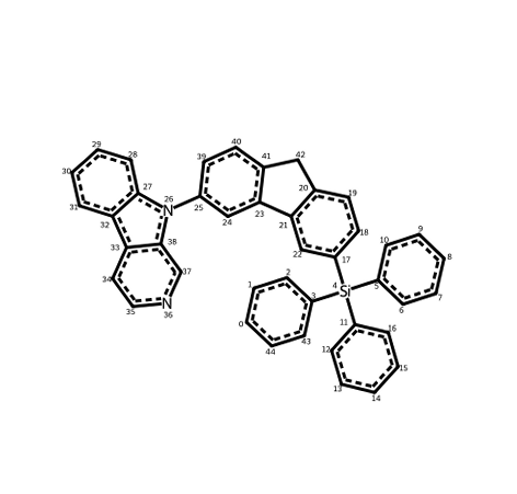 c1ccc([Si](c2ccccc2)(c2ccccc2)c2ccc3c(c2)-c2cc(-n4c5ccccc5c5ccncc54)ccc2C3)cc1